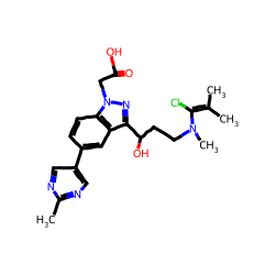 CC(C)=C(Cl)N(C)CCC(O)c1nn(CC(=O)O)c2ccc(-c3cnc(C)nc3)cc12